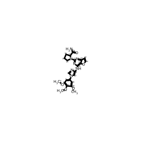 COc1cc(-n2cnc(Nc3nc(N4CCCC4C(N)=O)nc4ccoc34)c2)cc(OC)c1OC